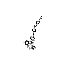 CN(C)Cc1ccc(CC(=O)c2ccc(C#Cc3ccc(C(F)(F)C(O)(Cn4cnnn4)c4ccc(F)cc4F)nc3)cc2)cc1